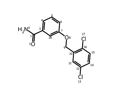 NC(=O)c1cccc(OCc2cc(Cl)ccc2Cl)c1